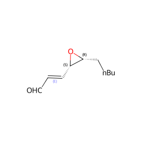 CCCCC[C@H]1O[C@H]1/C=C/C=O